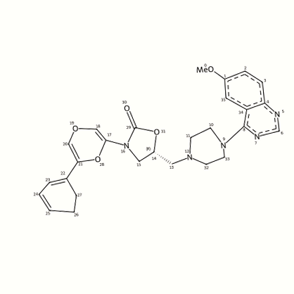 COc1ccc2ncnc(N3CCN(C[C@@H]4CN(C5=COC=C(C6=CC=CCC6)O5)C(=O)O4)CC3)c2c1